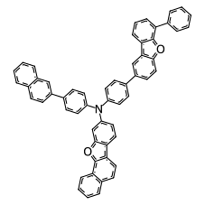 c1ccc(-c2cccc3c2oc2ccc(-c4ccc(N(c5ccc(-c6ccc7ccccc7c6)cc5)c5ccc6c(c5)oc5c7ccccc7ccc65)cc4)cc23)cc1